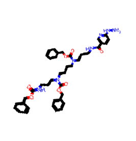 NNc1ccc(C(=O)NCCCN(CCCCN(CCCNC(=O)OCc2ccccc2)C(=O)OCc2ccccc2)C(=O)OCc2ccccc2)cn1